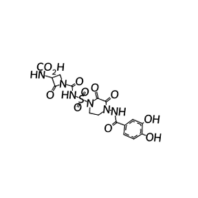 O=C(O)NC1CN(C(=O)NS(=O)(=O)N2CCN(NC(=O)c3ccc(O)c(O)c3)C(=O)C2=O)C1=O